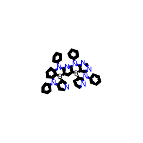 c1ccc(N2c3ccncc3B3c4cc5c(nc4N(c4ccccc4)c4cccc2c43)N(c2ccccc2)c2ncnc3c2B5c2cccnc2N3c2ccccc2)cc1